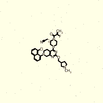 C=C(F)C(=O)N1CCN(c2nc(OCC3CCN(C)C3)nc3c2CCN(c2cccc4cccc(Cl)c24)C3)C[C@@H]1CC#N